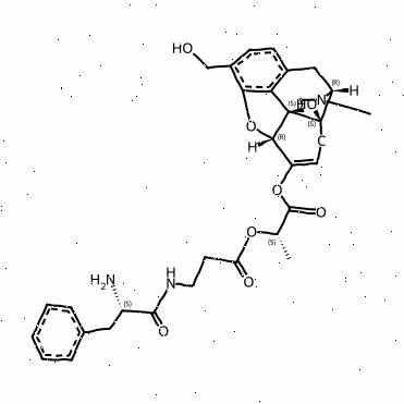 C[C@H](OC(=O)CCNC(=O)[C@@H](N)Cc1ccccc1)C(=O)OC1=CC[C@@]2(O)[C@H]3Cc4ccc(CO)c5c4[C@@]2(CCN3C)[C@H]1O5